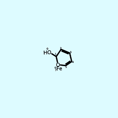 OC1C=CC=CO1.[Fe]